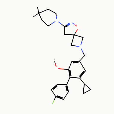 CCOC(=O)C1(C)CCN(C2=NOC3(C2)CN(Cc2cc(OC(C)C)c(-c4ccc(F)cc4)c(C4CC4)c2)C3)CC1